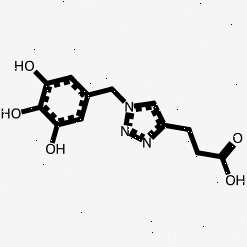 O=C(O)CCc1cn(Cc2cc(O)c(O)c(O)c2)nn1